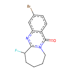 O=c1c2ccc(Br)cc2nc2n1CCCCC2F